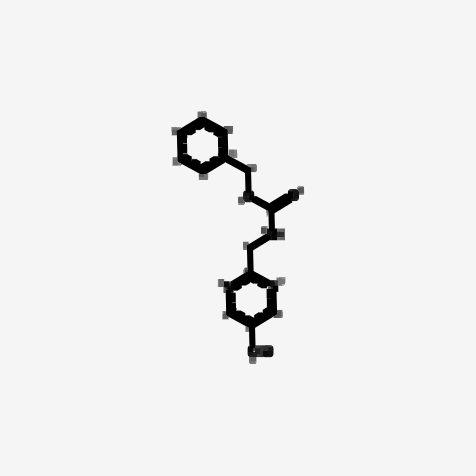 O=Cc1cnc(CNC(=O)OCc2ccccc2)nc1